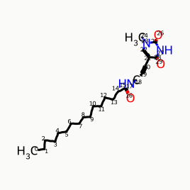 CCCCCCCCCCCCCCCC(=O)NCC#Cc1cn(C)c(=O)[nH]c1=O